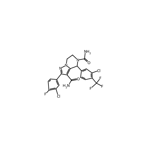 NC(=O)c1c(-c2ccc(F)c(Cl)c2)nn2c1C(c1ccc(C(F)(F)F)c(Cl)c1)N(C(N)=O)CC2